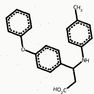 Cc1ccc(NC(CC(=O)O)c2ccc(Oc3ccccc3)cc2)cc1